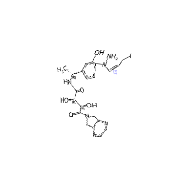 C[C@@H](NC(=O)[C@H](O)[C@@H](O)C(=O)N1Cc2cccnc2C1)c1ccc(N(N)/C=C\CI)c(O)c1